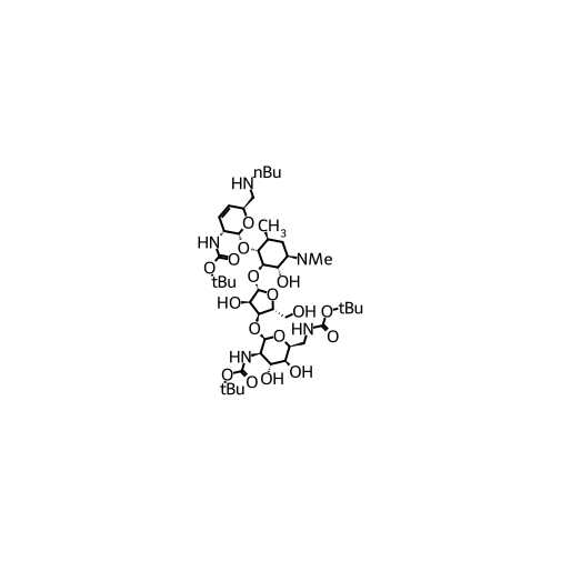 CCCCNC[C@@H]1C=C[C@@H](NC(=O)OC(C)(C)C)[C@@H](O[C@H]2[C@H](O[C@@H]3O[C@H](CO)[C@@H](O[C@H]4O[C@@H](CNC(=O)OC(C)(C)C)[C@@H](O)[C@H](O)[C@H]4NC(=O)OC(C)(C)C)[C@H]3O)[C@@H](O)[C@H](NC)C[C@@H]2C)O1